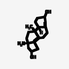 CC12CC[C@@]3(N)CC(O)CC3=C1CCC1=CC(O)CC[C@H]12